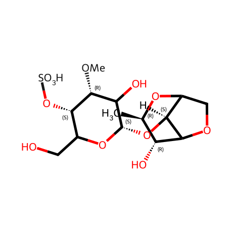 CO[C@@H]1C(O)[C@H](O[C@H]2C3COC2[C@H](O)[C@@H](C)O3)OC(CO)[C@@H]1OS(=O)(=O)O